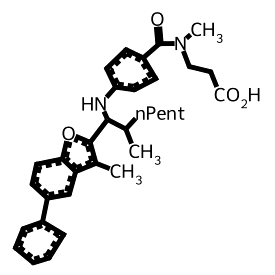 CCCCCC(C)C(Nc1ccc(C(=O)N(C)CCC(=O)O)cc1)c1oc2ccc(-c3ccccc3)cc2c1C